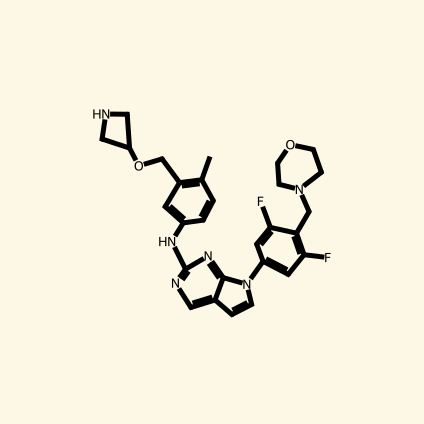 Cc1ccc(Nc2ncc3ccn(-c4cc(F)c(CN5CCOCC5)c(F)c4)c3n2)cc1COC1CNC1